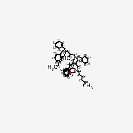 CCCCCC[N+](Cc1ccccc1)(Cc1ccccc1)CC(O)C[N+](CCCCCC)(Cc1ccccc1)CC(O)C[N+](CCCCCC)(Cc1ccccc1)Cc1ccccc1